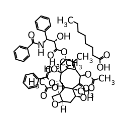 CC(=O)O[C@H]1C(=O)[C@@]2(C)[C@H]([C@H](OC(=O)c3ccccc3)[C@]3(O)C[C@H](OC(=O)[C@H](O)[C@@H](NC(=O)c4ccccc4)c4ccccc4)C(C)=C1C3(C)C)[C@]1(OC(C)=O)CO[C@@H]1C[C@@H]2O.CCCCCCCC(=O)O